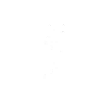 C[N+](C)(C)Cc1ccc(C2CC3CC2C2CC=CCC32)cc1